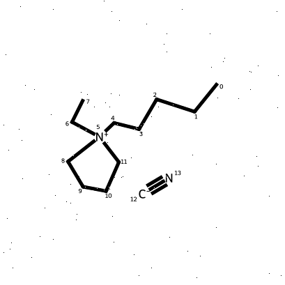 CCCCC[N+]1(CC)CCCC1.[C-]#N